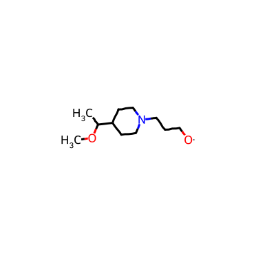 COC(C)C1CCN(CCC[O])CC1